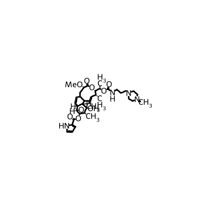 CO[C@H]1CC2C=C[C@H]3[C@H]4O[C@]2(/C(C)=C/[C@@H](C)[C@@H]([C@@H](C)OC(=O)NCCCN2CCN(C)CC2)OC1=O)[C@@H]3[C@H](O)[C@@H](C)[C@H]4OC(=O)c1ccc[nH]1